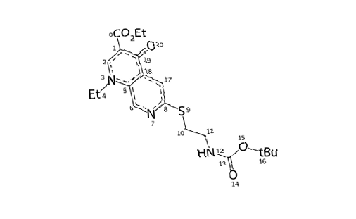 CCOC(=O)c1cn(CC)c2cnc(SCCNC(=O)OC(C)(C)C)cc2c1=O